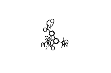 Cc1noc(C)c1-c1cc(C(N)=O)c2c(c1)c1ccc(C(=O)N3CCCOCC3)cc1n2S(=O)(=O)C1CC1